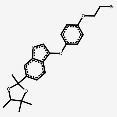 CC1OC(C)(c2ccc3c(Oc4ccc(OCCBr)cc4)csc3c2)OC1(C)C